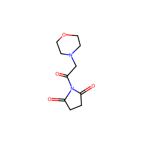 O=C1CCC(=O)N1C(=O)CN1CCOCC1